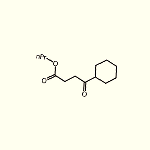 CCCOC(=O)CCC(=O)C1CCCCC1